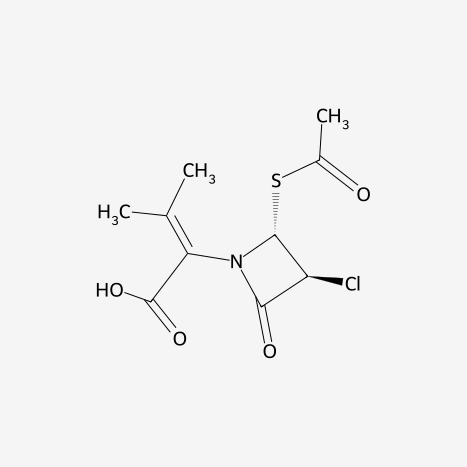 CC(=O)S[C@@H]1[C@@H](Cl)C(=O)N1C(C(=O)O)=C(C)C